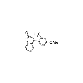 COc1ccc(-c2cc(=O)oc3ccccc23)c(C)c1